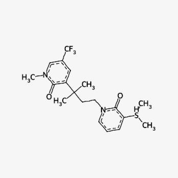 Cn1cc(C(F)(F)F)cc(C(C)(C)CCn2cccc([SH](C)C)c2=O)c1=O